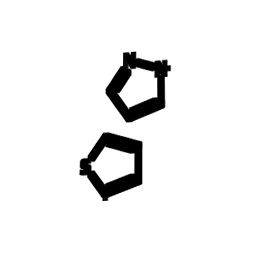 C1=C[N]N=C1.[c]1cccs1